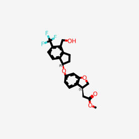 COC(=O)C[C@@H]1COc2cc(O[C@@H]3CCc4c3ccc(C(F)(F)F)c4CO)ccc21